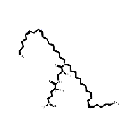 CCCCC/C=C\C/C=C\CCCCCCCCN(CCCCCCCC/C=C\C/C=C\CCCCC)C(=O)[C@@H](N)CNC(=O)[C@@H](N)CCCN(C)C